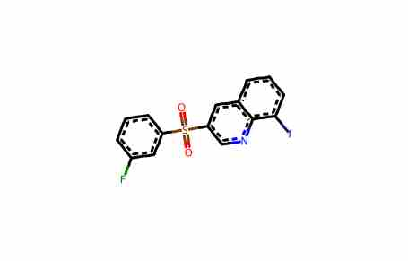 O=S(=O)(c1cccc(F)c1)c1cnc2c(I)cccc2c1